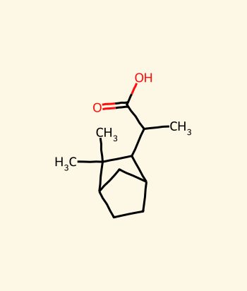 CC(C(=O)O)C1C2CCC(C2)C1(C)C